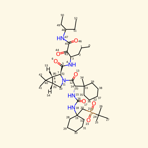 CCCC(NC(=O)[C@@H]1[C@@H]2[C@H](CN1C(=O)[C@@H](NC(=O)NC1(CS(=O)(=O)C(C)(C)C)CCCCC1)C1(C)CCCCC1)C2(C)C)C(=O)C(=O)NC(CC)CC